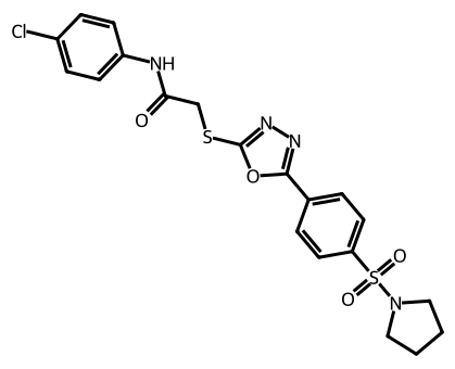 O=C(CSc1nnc(-c2ccc(S(=O)(=O)N3CCCC3)cc2)o1)Nc1ccc(Cl)cc1